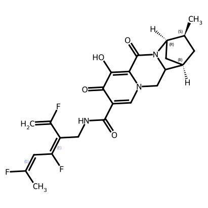 C=C(F)/C(CNC(=O)c1cn2c(c(O)c1=O)C(=O)N1C(C2)[C@H]2C[C@@H]1[C@@H](C)C2)=C(F)\C=C(/C)F